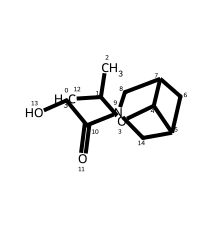 CC(C)OC1C2CC1CN(C(=O)CO)C2